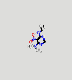 CCNc1ncnc(N(C)C)c1[N+](=O)[O-]